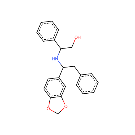 OCC(NC(Cc1ccccc1)c1ccc2c(c1)OCO2)c1ccccc1